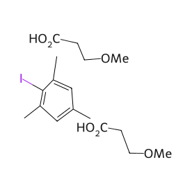 COCCC(=O)O.COCCC(=O)O.Cc1cc(C)c(I)c(C)c1